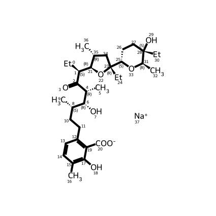 CC[C@H](C(=O)[C@H](C)[C@H](O)[C@@H](C)CCc1ccc(C)c(O)c1C(=O)[O-])[C@@H]1O[C@@](CC)([C@@H]2CC[C@@](O)(CC)[C@@H](C)O2)C[C@H]1C.[Na+]